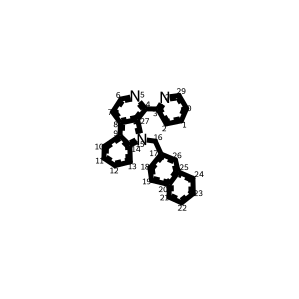 c1ccc(-c2nccc3c4ccccc4n(Cc4ccc5ccccc5c4)c23)nc1